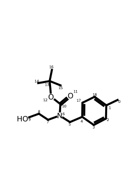 Cc1ccc(CN(CCO)C(=O)OC(C)(C)C)cc1